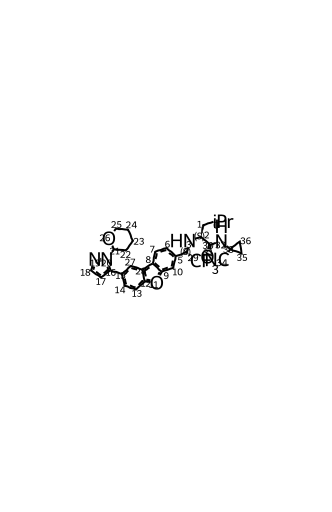 CC(C)C[C@H](N[C@@H](c1ccc2c(c1)oc1ccc(-c3ccnn3C3CCCCO3)cc12)C(F)(F)F)C(=O)NC1(C#N)CC1